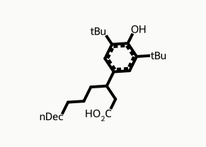 CCCCCCCCCCCCCC(CC(=O)O)c1cc(C(C)(C)C)c(O)c(C(C)(C)C)c1